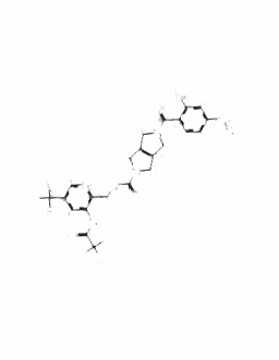 CC(C)(C)C(=O)Nc1cc(C(F)(F)F)cnc1COC(=O)N1CC2=C(C1)CN(C(=O)c1ccc(SN)cc1F)C2